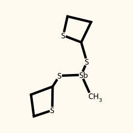 [CH3][Sb]([S]C1CCS1)[S]C1CCS1